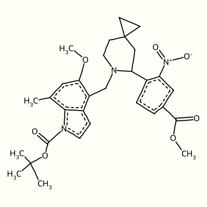 COC(=O)c1ccc(C2CC3(CCN2Cc2c(OC)cc(C)c4c2ccn4C(=O)OC(C)(C)C)CC3)c([N+](=O)[O-])c1